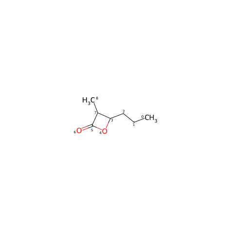 CCCC1OC(=O)C1C